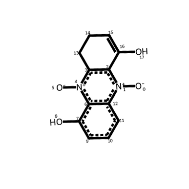 [O-][n+]1c2c([n+]([O-])c3c(O)cccc31)CCC=C2O